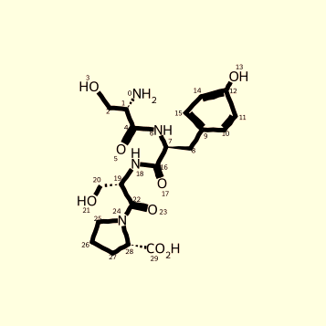 N[C@@H](CO)C(=O)N[C@@H](Cc1ccc(O)cc1)C(=O)N[C@@H](CO)C(=O)N1CCC[C@H]1C(=O)O